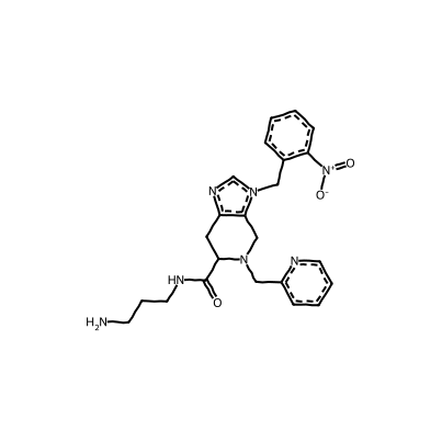 NCCCNC(=O)C1Cc2ncn(Cc3ccccc3[N+](=O)[O-])c2CN1Cc1ccccn1